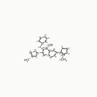 Cn1cc(-c2nc3ccc(-c4cncn4C)cc3c(C#N)c2Cc2ccccc2)cn1